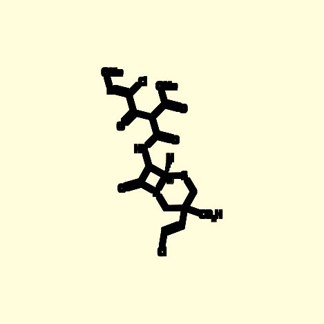 CON=C(Cl)C(=O)C(C(=O)NC1C(=O)N2CC(C=CCl)(C(=O)O)CS[C@H]12)C(=O)OC